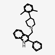 Cc1cccc(C)c1C1CCN(Cc2c(-c3ccccc3)[nH]c3ccccc23)CC1